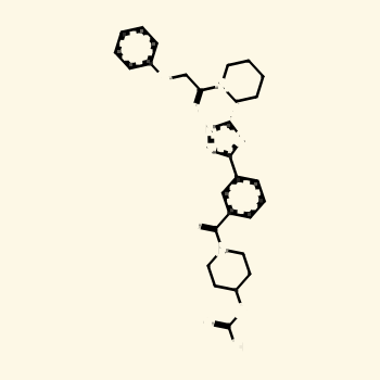 O=C(O)OC1CCN(C(=O)c2cccc(-c3n[nH]c([C@H]4CCCCN4C(=O)COc4ccccc4)n3)c2)CC1